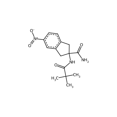 CC(C)(C)C(=O)NC1(C(N)=O)Cc2ccc([N+](=O)[O-])cc2C1